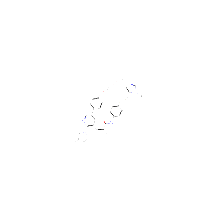 CCCCOCCOc1ccc(-c2cnc(N3CCC(C)C3)c(C=C(C)C(=O)Nc3ccc([S@@+]([O-])Cc4cncn4CCC)cc3)c2)cc1